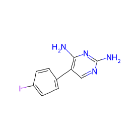 Nc1ncc(-c2ccc(I)cc2)c(N)n1